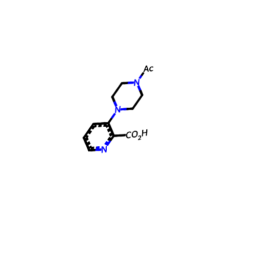 CC(=O)N1CCN(c2cccnc2C(=O)O)CC1